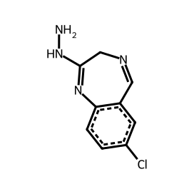 NNC1=Nc2ccc(Cl)cc2C=NC1